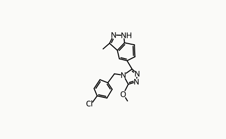 COc1nnc(-c2ccc3[nH]nc(C)c3c2)n1Cc1ccc(Cl)cc1